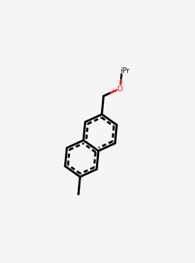 Cc1ccc2cc(COC(C)C)ccc2c1